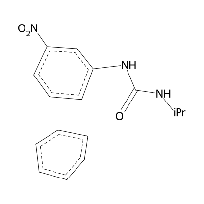 CC(C)NC(=O)Nc1cccc([N+](=O)[O-])c1.c1ccccc1